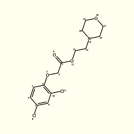 O=C(COc1ccc(Cl)cc1Cl)OCCN1CCOCC1